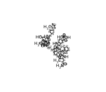 Cc1ncsc1-c1ccc(CNC(=O)[C@@H]2C[C@@H](O)CN2C(=O)[C@@H](NC(=O)CCCCc2ccc(CO[C@H](C)[C@H](CCC(N)=O)NC(=O)[C@@H]3Cc4cccc5c4N3C(=O)[C@@H](NC(=O)c3cc4cc(C(=O)P(=O)(O)O)ccc4[nH]3)CC5)cc2)C(C)(C)C)cc1